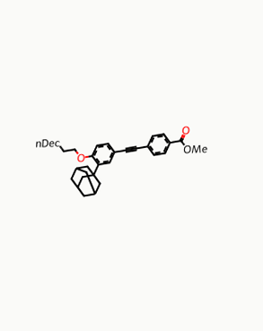 CCCCCCCCCCCCOc1ccc(C#Cc2ccc(C(=O)OC)cc2)cc1C12CC3CC(CC(C3)C1)C2